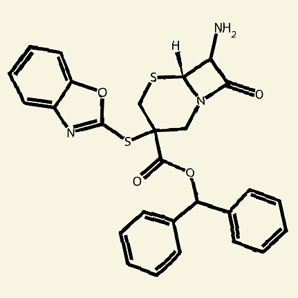 NC1C(=O)N2CC(Sc3nc4ccccc4o3)(C(=O)OC(c3ccccc3)c3ccccc3)CS[C@H]12